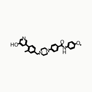 COc1ccc(NC(=O)c2ccc(N3CCN(Cc4ccc(-c5cncc(O)c5)c(C)c4)CC3)cc2)cc1